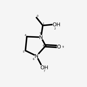 CC(O)N1CCN(O)C1=O